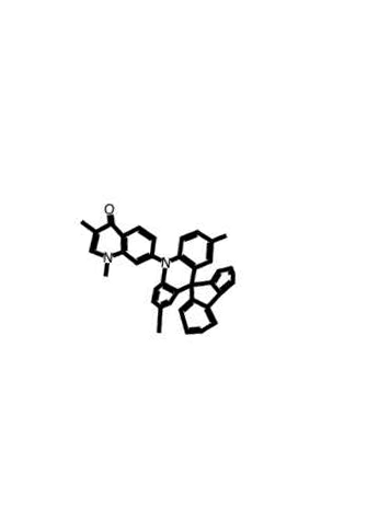 Cc1ccc2c(c1)C1(c3ccccc3-c3ccccc31)c1cc(C)ccc1N2c1ccc2c(=O)c(C)cn(C)c2c1